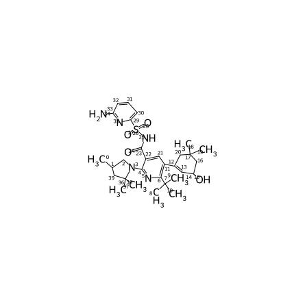 CC1CN(c2nc(C(C)(C)C)c(C3=CC(O)CC(C)(C)C3)cc2C(=O)NS(=O)(=O)c2cccc(N)n2)C(C)(C)C1